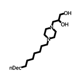 CCCCCCCCCCCCCCCCCN1CCN(CC(O)CO)CC1